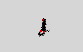 C[C@H]1CCC/C=C/[C@@H]2C[C@H](OC(=O)OCc3ccc(N4CCCCC4)nc3)C[C@H]2[C@H](O)/C=C/C(=O)O1